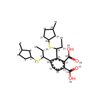 CCC(SC1CCC(C)C1)c1ccc(C(=O)O)c(C(=O)O)c1C(CC)SC1CCC(C)C1